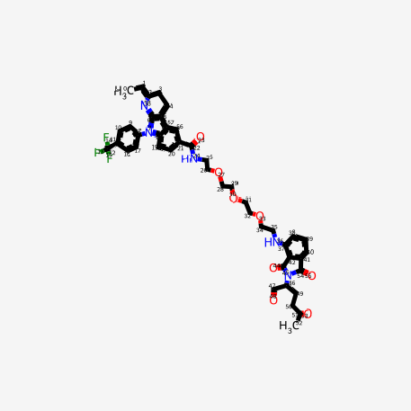 C/C=C1/CC=c2c(n(-c3ccc(C(F)(F)F)cc3)c3ccc(C(=O)NCCOCCOCCOCCNc4cccc5c4C(=O)N(C(C=O)CCC(C)=O)C5=O)cc23)=N1